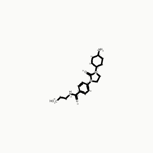 NC1CCC(N2CCN(c3ccc(C(=O)NCCC(=O)O)cc3)C2=O)CC1